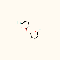 FC1=CCCC(OC2CCC=C(F)O2)O1